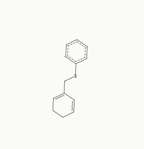 [c]1ccccc1SCC1=CCCC=C1